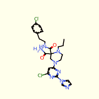 CCCN1CCN(c2cc(Cl)nc(-n3ccnc3)n2)CC1(C(N)=O)C(=O)NCCc1ccc(Cl)cc1